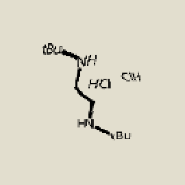 CC(C)(C)NCCNC(C)(C)C.Cl.Cl